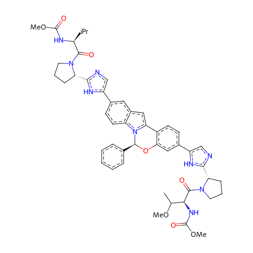 COC(=O)N[C@H](C(=O)N1CCC[C@H]1c1ncc(-c2ccc3c(c2)cc2n3[C@H](c3ccccc3)Oc3cc(-c4cnc([C@@H]5CCCN5C(=O)[C@@H](NC(=O)OC)C(C)OC)[nH]4)ccc3-2)[nH]1)C(C)C